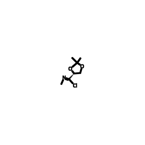 CN=C(Cl)[C@H]1COC(C)(C)O1